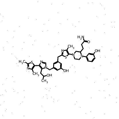 Cc1nc(C)c(-c2ncn(Cc3cc(O)cc(Cc4nc(C)c(N5CCN(c6cccc(O)c6)C(CCC(N)=O)C5)s4)c3)c2CC(C)O)s1